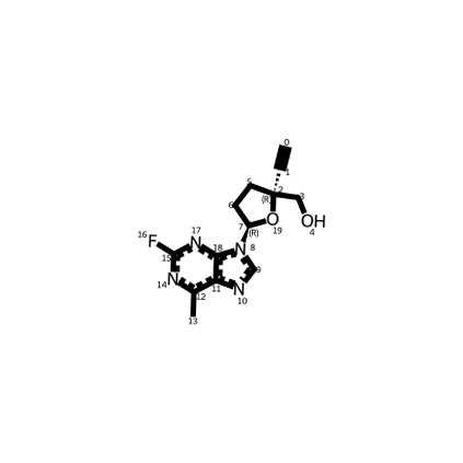 C#C[C@@]1(CO)CC[C@H](n2cnc3c(C)nc(F)nc32)O1